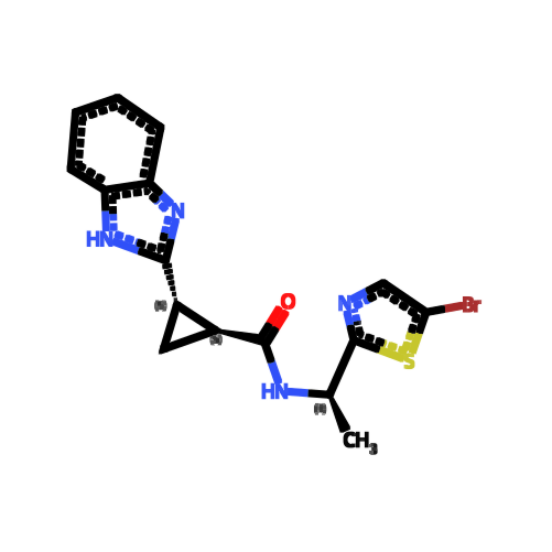 C[C@@H](NC(=O)[C@H]1C[C@@H]1c1nc2ccccc2[nH]1)c1ncc(Br)s1